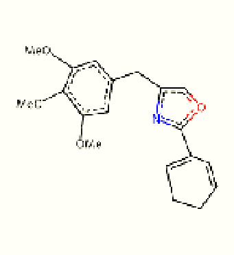 COc1cc(Cc2coc(C3=CCCC=C3)n2)cc(OC)c1OC